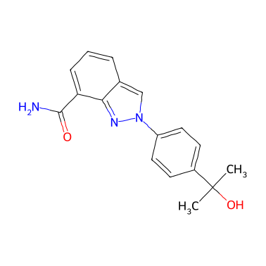 CC(C)(O)c1ccc(-n2cc3cccc(C(N)=O)c3n2)cc1